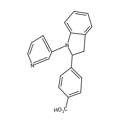 O=C(O)c1ccc(C2Cc3ccccc3N2c2cccnc2)cc1